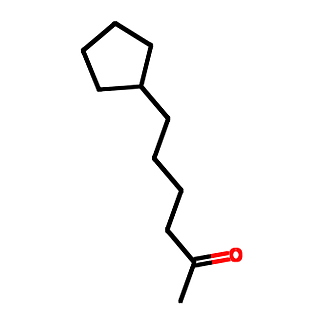 CC(=O)CCCCC1CCCC1